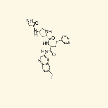 CCc1ccc2ncc(NC(=O)C(CCc3ccccc3)NC(=O)[C@@H]3C[C@@H](NC(=O)CN)CN3)cc2c1